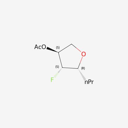 CCC[C@H]1OC[C@H](OC(C)=O)[C@H]1F